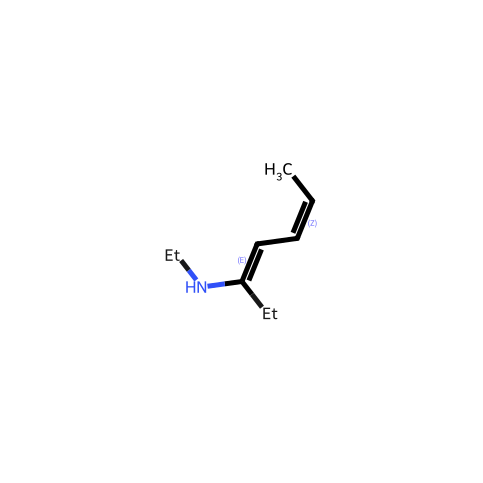 C/C=C\C=C(/CC)NCC